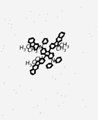 CC1(C)c2ccccc2-c2cc(N(c3ccccc3)c3ccc4c(-c5ccc6c(c5)C(C)(C)c5cc7ccccc7cc5-6)c5cc(N(c6ccccc6)c6ccccc6)ccc5c(-c5ccc6c(c5)C(C)(C)c5cc7ccccc7cc5-6)c4c3)ccc21